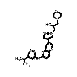 CC(C)c1cnnc(Nc2ccc3ncc(/C(C=N)=C/NCC(O)CN4CCOCC4)cc3n2)c1